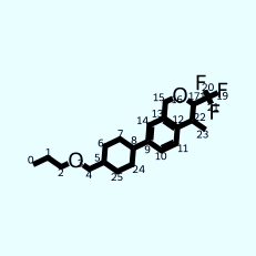 CCCOCC1CCC(c2ccc3c(c2)COC(C(F)(F)F)C3C)CC1